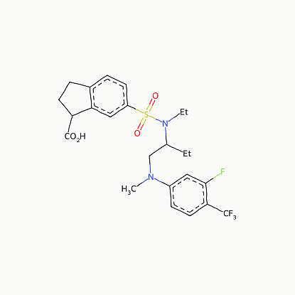 CCC(CN(C)c1ccc(C(F)(F)F)c(F)c1)N(CC)S(=O)(=O)c1ccc2c(c1)C(C(=O)O)CC2